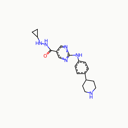 O=C(NNC1CC1)c1cnc(Nc2ccc(C3CCNCC3)cc2)nc1